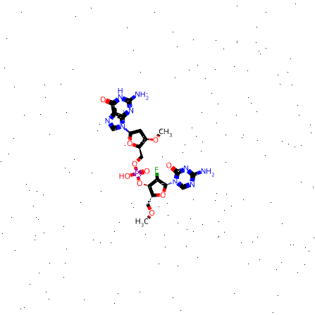 COC[C@H]1O[C@@H](n2cnc(N)nc2=O)C(F)[C@H]1OP(=O)(O)OC[C@H]1O[C@@H](n2cnc3c(=O)[nH]c(N)nc32)C[C@H]1OC